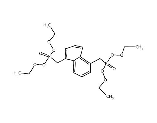 CCOOP(=O)(Cc1cccc2c(CP(=O)(OOCC)OOCC)cccc12)OOCC